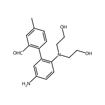 Cc1ccc(-c2cc(N)ccc2N(CCO)CCO)c(C=O)c1